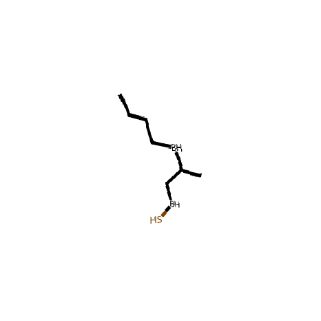 CCCCBC(C)CBS